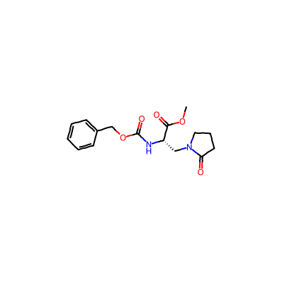 COC(=O)[C@H](CN1CCCC1=O)NC(=O)OCc1ccccc1